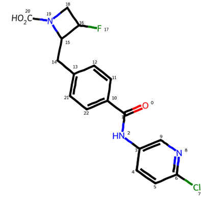 O=C(Nc1ccc(Cl)nc1)c1ccc(CC2C(F)CN2C(=O)O)cc1